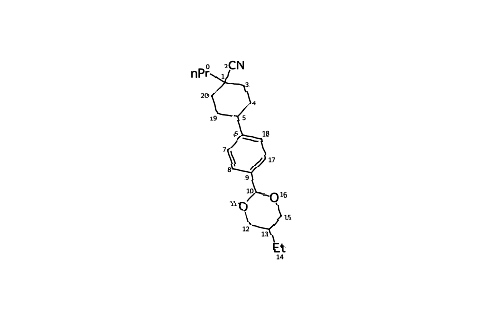 CCCC1(C#N)CCC(c2ccc(C3OCC(CC)CO3)cc2)CC1